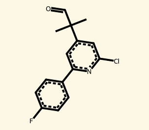 CC(C)(C=O)c1cc(Cl)nc(-c2ccc(F)cc2)c1